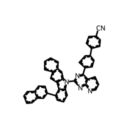 N#Cc1ccc(-c2ccc(-c3nc(-n4c5cc6ccccc6cc5c5c(-c6ccc7ccccc7c6)cccc54)nc4ncccc34)cc2)cc1